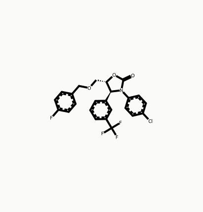 O=C1O[C@@H](COCc2ccc(F)cc2)[C@H](c2cccc(C(F)(F)F)c2)N1c1ccc(Cl)cc1